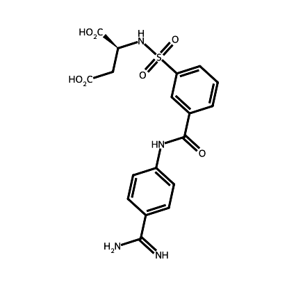 N=C(N)c1ccc(NC(=O)c2cccc(S(=O)(=O)N[C@@H](CC(=O)O)C(=O)O)c2)cc1